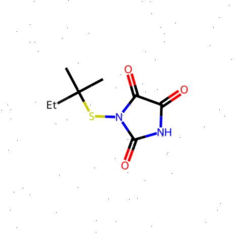 CCC(C)(C)SN1C(=O)NC(=O)C1=O